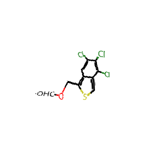 O=[C]OCc1scc2c(Cl)c(Cl)c(Cl)cc12